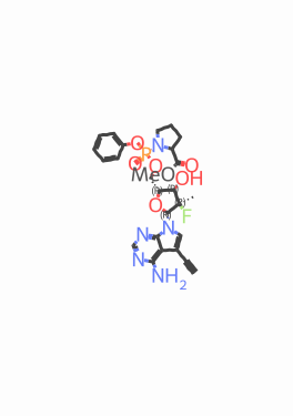 C#Cc1cn([C@@H]2O[C@H](COP(=O)(Oc3ccccc3)N3CCCC3C(=O)OC)[C@@H](O)[C@@]2(C)F)c2ncnc(N)c12